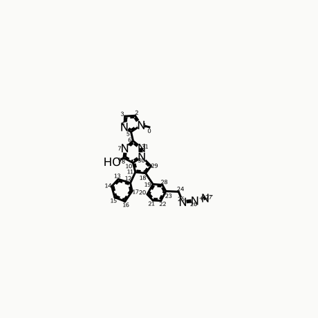 Cn1ccnc1-c1nc(O)c2c(-c3ccccc3)c(-c3cccc(CN=[N+]=[N-])c3)cn2n1